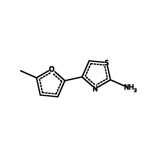 Cc1ccc(-c2csc(N)n2)o1